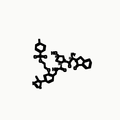 Cc1ccc(S(=O)(=O)OCCOc2cc(-c3scnc3C)ccc2CNC(=O)[C@@H]2C[C@@H](O)CN2C(=O)[C@H](C(C)C)N2Cc3ccccc3C2=O)cc1